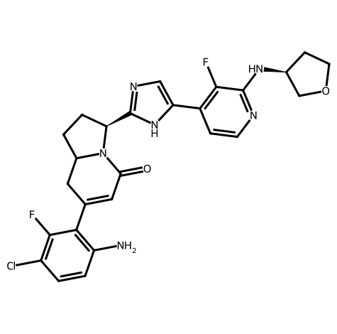 Nc1ccc(Cl)c(F)c1C1=CC(=O)N2C(CC[C@H]2c2ncc(-c3ccnc(N[C@H]4CCOC4)c3F)[nH]2)C1